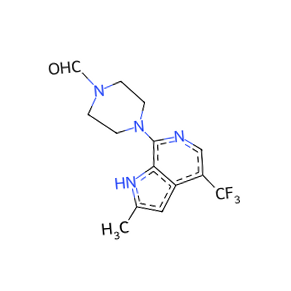 Cc1cc2c(C(F)(F)F)cnc(N3CCN(C=O)CC3)c2[nH]1